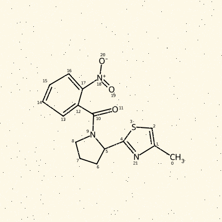 Cc1csc(C2CCCN2C(=O)c2ccccc2[N+](=O)[O-])n1